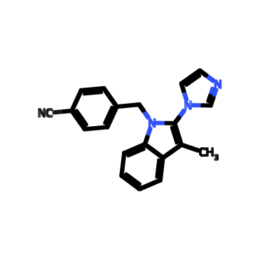 Cc1c(-n2ccnc2)n(Cc2ccc(C#N)cc2)c2ccccc12